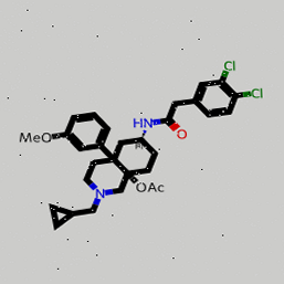 COc1cccc(C23CCN(CC4CC4)CC2(OC(C)=O)CC[C@@H](NC(=O)Cc2ccc(Cl)c(Cl)c2)C3)c1